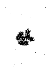 Cc1ccc(-c2nc(-c3ccc(C)cc3)nc(-c3cc(-c4c5ccccc5cc5ccccc45)cc(-c4c5ccccc5cc5ccccc45)c3)n2)cc1